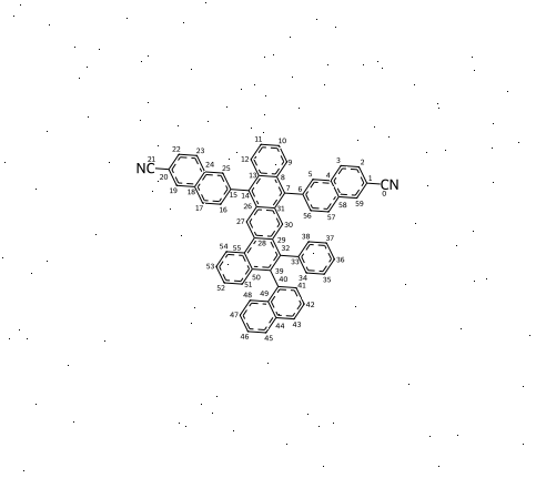 N#Cc1ccc2cc(-c3c4ccccc4c(-c4ccc5cc(C#N)ccc5c4)c4cc5c(cc34)c(-c3ccccc3)c(-c3cccc4ccccc34)c3ccccc35)ccc2c1